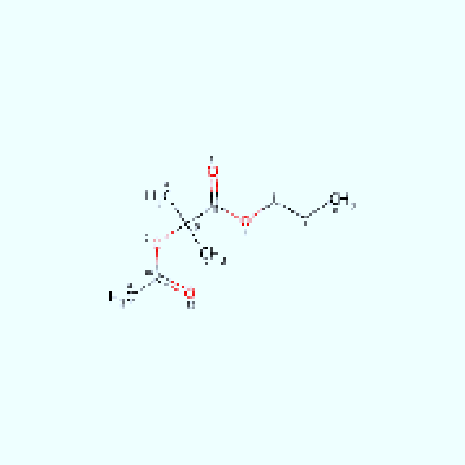 CCCOC(=O)C(C)(C)OC(C)=O